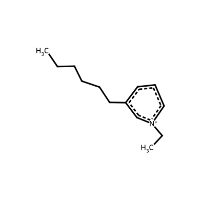 CCCCCCc1ccc[n+](CC)c1